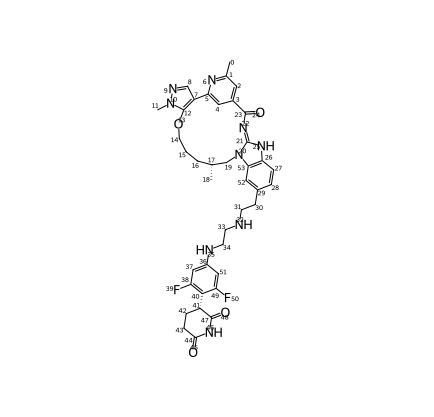 Cc1cc2cc(n1)-c1cnn(C)c1OCCC[C@@H](C)CN1/C(=N/C2=O)Nc2ccc(CCNCCNc3cc(F)c([C@H]4CCC(=O)NC4=O)c(F)c3)cc21